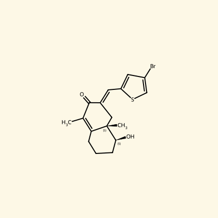 CC1=C2CCC[C@H](O)[C@@]2(C)CC(=Cc2cc(Br)cs2)C1=O